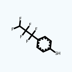 FC(F)C(F)(F)C(F)(F)c1ccc(S)cc1